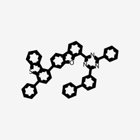 c1ccc(-c2cccc(-c3nc(-c4ccccc4)nc(-c4cccc5c4oc4cc(-c6ccc(-c7ccccc7)c7sc8ccccc8c67)ccc45)n3)c2)cc1